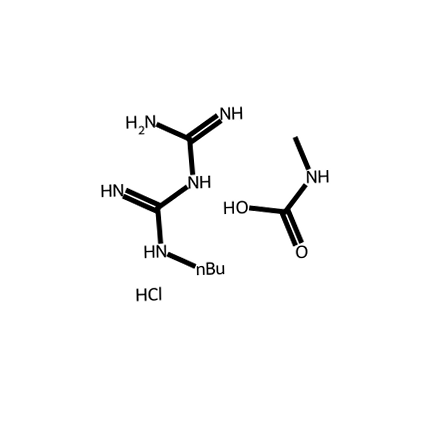 CCCCNC(=N)NC(=N)N.CNC(=O)O.Cl